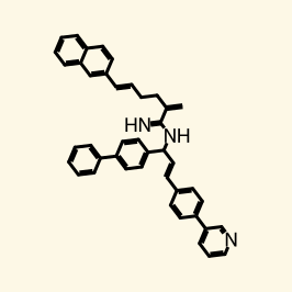 C=C(CC/C=C/c1ccc2ccccc2c1)C(=N)NC(/C=C/c1ccc(-c2cccnc2)cc1)c1ccc(-c2ccccc2)cc1